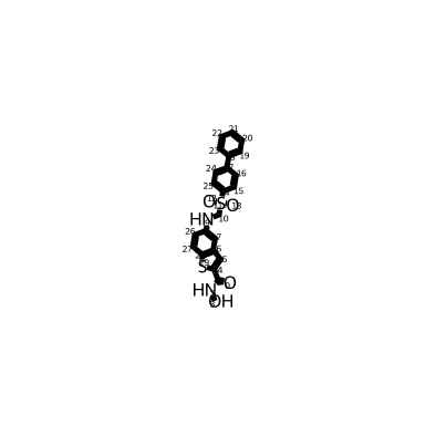 O=C(NO)c1cc2cc(NCS(=O)(=O)c3ccc(-c4ccccc4)cc3)ccc2s1